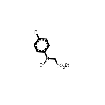 CCOC(=O)CN(CC)c1ccc(F)cc1